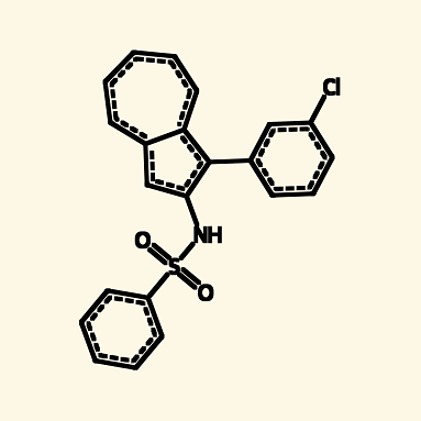 O=S(=O)(Nc1cc2cccccc-2c1-c1cccc(Cl)c1)c1ccccc1